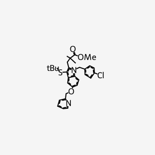 COC(=O)C(C)(C)Cc1c(SC(C)(C)C)c2cc(OCc3ccccn3)ccc2n1Cc1ccc(Cl)cc1